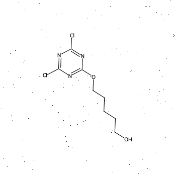 OCCCCCOc1nc(Cl)nc(Cl)n1